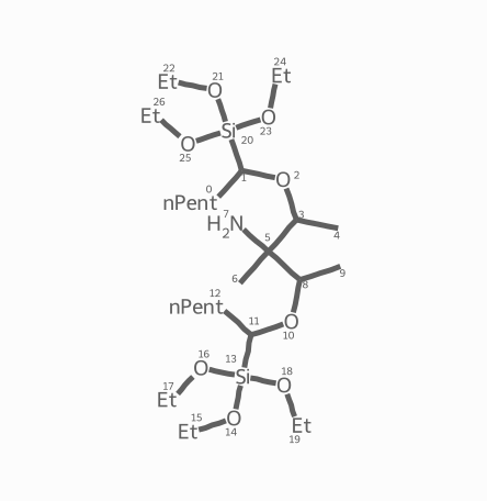 CCCCCC(OC(C)C(C)(N)C(C)OC(CCCCC)[Si](OCC)(OCC)OCC)[Si](OCC)(OCC)OCC